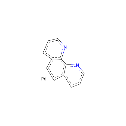 [Pd].c1cnc2c(c1)ccc1cccnc12